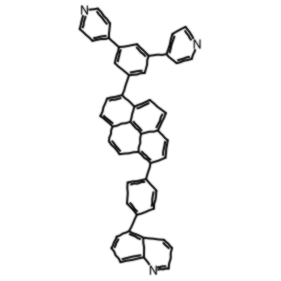 c1cc(-c2ccc(-c3ccc4ccc5c(-c6cc(-c7ccncc7)cc(-c7ccncc7)c6)ccc6ccc3c4c65)cc2)c2cccnc2c1